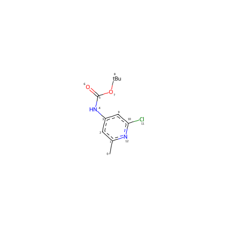 Cc1cc(NC(=O)OC(C)(C)C)cc(Cl)n1